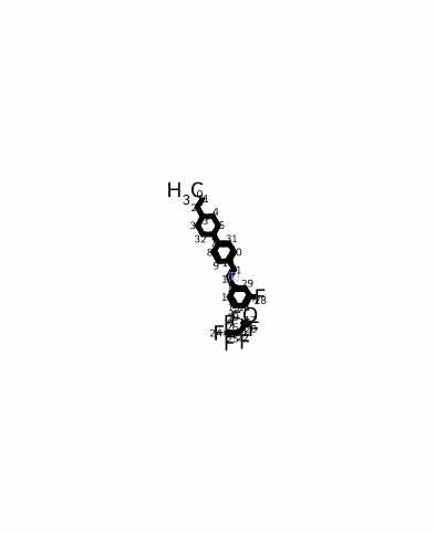 CCCC1CCC(c2ccc(/C=C/c3ccc(OC(F)(F)C(F)C(F)(F)F)c(F)c3)cc2)CC1